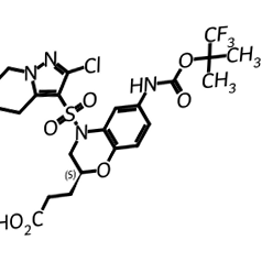 CC(C)(OC(=O)Nc1ccc2c(c1)N(S(=O)(=O)c1c(Cl)nn3c1CCCC3)C[C@H](CCC(=O)O)O2)C(F)(F)F